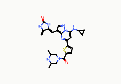 C=c1[nH]c(=O)[nH]/c1=C\c1cnn2c(NC3CC3)cc(-c3ccc(C(=O)N4CC(C)NC(C)C4)s3)nc12